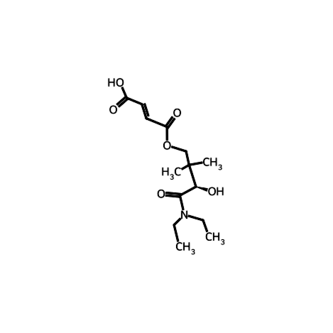 CCN(CC)C(=O)[C@H](O)C(C)(C)COC(=O)/C=C/C(=O)O